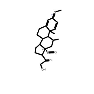 C/N=C1\C=CC2(C)C(=C1)CCC1C2C(C)C[C@]2(N=O)C(C(=O)CO)CCC12